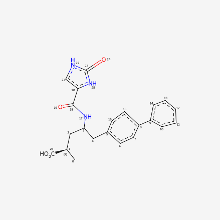 C[C@H](CC(Cc1ccc(-c2ccccc2)cc1)NC(=O)c1c[nH]c(=O)[nH]1)C(=O)O